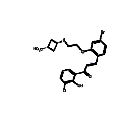 O=C(/C=C/c1ccc(Br)cc1OCCO[C@H]1C[C@@H](C(=O)O)C1)c1cccc(Cl)c1O